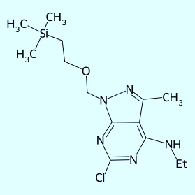 CCNc1nc(Cl)nc2c1c(C)nn2COCC[Si](C)(C)C